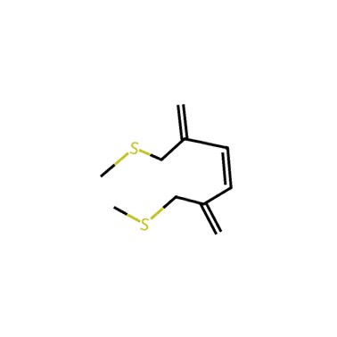 C=C(/C=C\C(=C)CSC)CSC